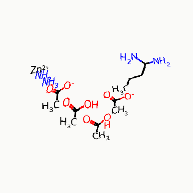 CC(=O)O.CC(=O)O.CC(=O)[O-].CC(=O)[O-].CCCC(N)N.N.N.[Zn+2]